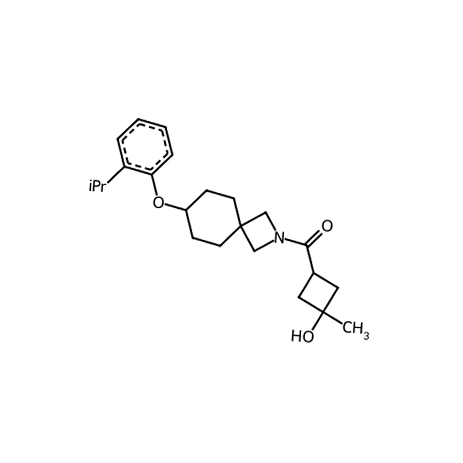 CC(C)c1ccccc1OC1CCC2(CC1)CN(C(=O)C1CC(C)(O)C1)C2